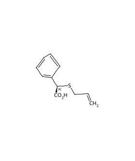 C=CCS[C@@H](C(=O)O)c1ccccc1